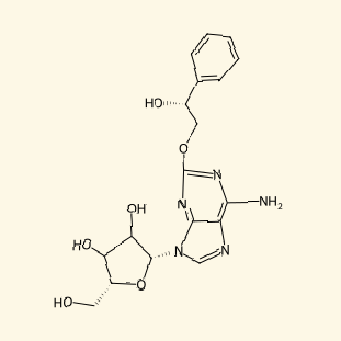 Nc1nc(OC[C@H](O)c2ccccc2)nc2c1ncn2[C@@H]1O[C@H](CO)C(O)C1O